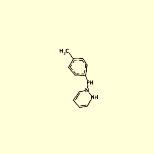 Cc1ccc(PN2C=CC=CN2)cc1